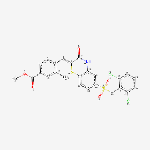 COC(=O)c1ccc(/C=C2\Sc3ccc(S(=O)(=O)Cc4c(Cl)cccc4Cl)cc3NC2=O)c(C)c1